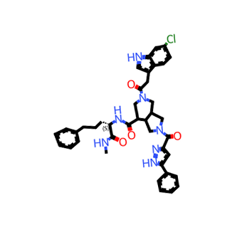 CNC(=O)[C@H](CCCc1ccccc1)NC(=O)C1CN(C(=O)Cc2c[nH]c3cc(Cl)ccc23)CC2CN(C(=O)c3cc(-c4ccccc4)[nH]n3)CC21